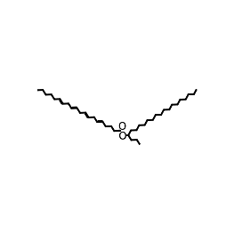 CCCCCC=CCC=CCC=CCC=CCCCC(=O)OC(CCC)CCCCCCCCCCCCCCCCC